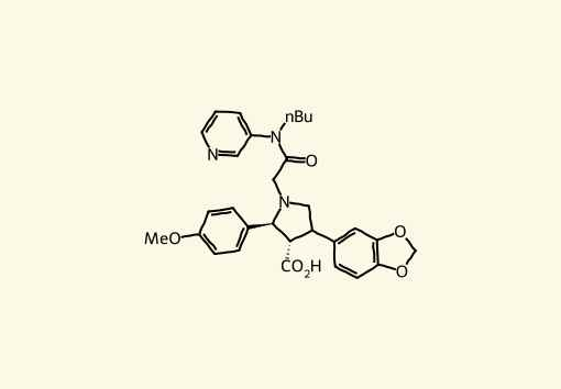 CCCCN(C(=O)CN1CC(c2ccc3c(c2)OCO3)[C@H](C(=O)O)[C@H]1c1ccc(OC)cc1)c1cccnc1